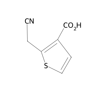 N#CCc1sccc1C(=O)O